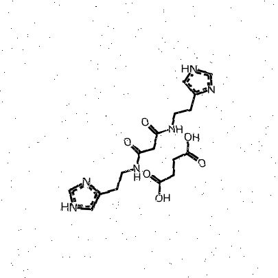 O=C(CC(=O)NCCc1c[nH]cn1)NCCc1c[nH]cn1.O=C(O)CCC(=O)O